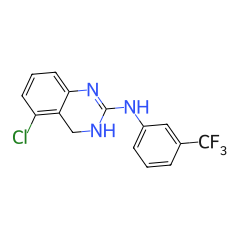 FC(F)(F)c1cccc(NC2=Nc3cccc(Cl)c3CN2)c1